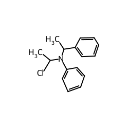 CC(Cl)N(c1ccccc1)C(C)c1ccccc1